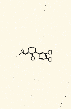 CN(C)C=C1CCCC(c2ccc(Cl)c(Cl)c2)C1=O